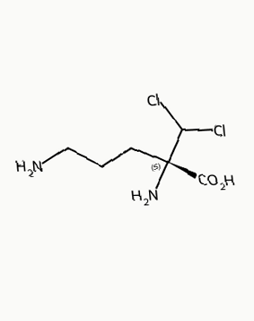 NCCC[C@](N)(C(=O)O)C(Cl)Cl